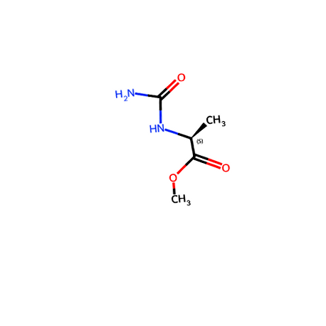 COC(=O)[C@H](C)NC(N)=O